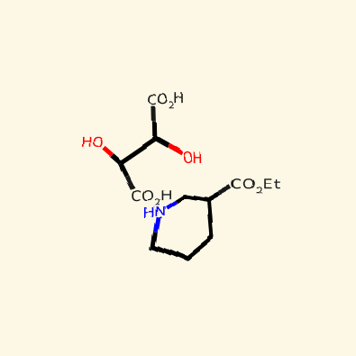 CCOC(=O)C1CCCNC1.O=C(O)C(O)C(O)C(=O)O